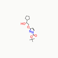 CC(C)(C)OC(=O)n1ccc(OCC(O)C2CCCC2)n1